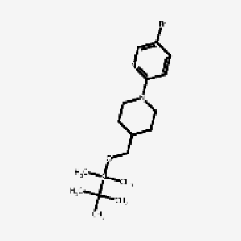 CC(C)(C)[Si](C)(C)OCC1CCN(c2ccc(Br)cn2)CC1